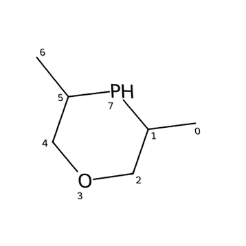 CC1COCC(C)P1